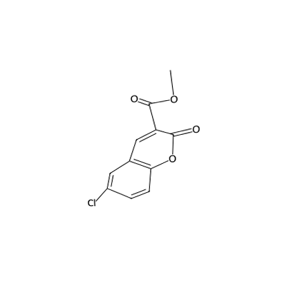 COC(=O)c1cc2cc(Cl)ccc2oc1=O